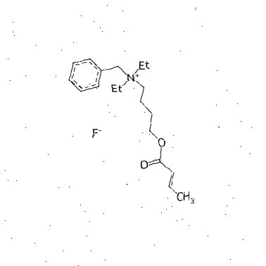 CC=CC(=O)OCCCC[N+](CC)(CC)Cc1ccccc1.[F-]